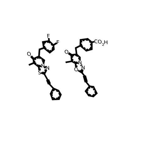 Cc1c(=O)c(Cc2ccc(C(=O)O)cc2)cn2nc(C#Cc3ccccc3)oc12.Cc1c(=O)c(Cc2ccc(F)c(F)c2)cn2nc(C#Cc3ccccc3)sc12